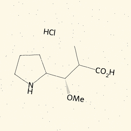 CO[C@H](C1CCCN1)C(C)C(=O)O.Cl